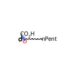 CCCCC/C=C/C/C=C/C/C=C/CCCCC(=O)n1cc(CC(=O)O)c2ccccc21